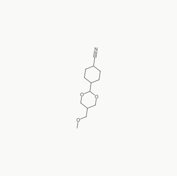 COCC1COC(C2CCC(C#N)CC2)OC1